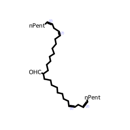 CCCCC/C=C\C/C=C\CCCCCCCCC(C=O)CCCCCCCC/C=C\C/C=C\CCCCC